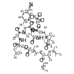 C/C=C(\C)[C@@H](O[Si](C)(C)C(C)(C)C)[C@@H](C)[C@H](C/C=C(\C)C(=O)O[C@H](CC(C)C)C(=O)N[C@@H](C)C(=O)N(C)[C@H](Cc1ccc(C#N)cc1)C(=O)N(C)CC(=O)N[C@H](C(=O)OCC(Cl)(Cl)Cl)[C@H](C)CC)OCSC